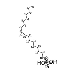 CCCCCCCCC1CC1CCCCCCCCOP(O)(O)=S